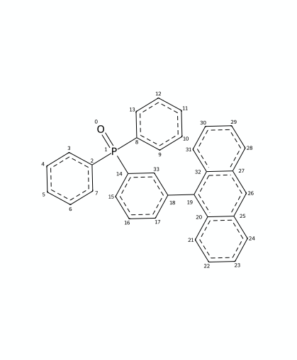 O=P(c1ccccc1)(c1ccccc1)c1cccc(-c2c3ccccc3cc3ccccc23)c1